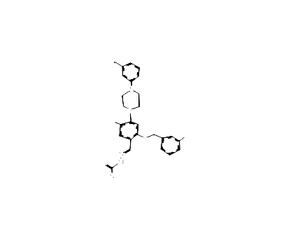 NC(=S)N/N=C/c1cc(F)c(N2CCN(c3cccc(Cl)c3)CC2)cc1NCc1cccc(Cl)c1